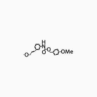 COc1ccc(COC(=O)Nc2cccc(C=CC[O])c2)cc1